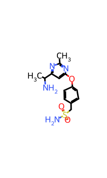 Cc1nc(Oc2ccc(CS(N)(=O)=O)cc2)cc(C(C)N)n1